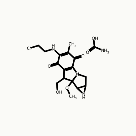 COC12C(CO)C3=C(C(=O)C(C)=C(NCCCl)C3=O)N1CC1NC12.NC(=O)O